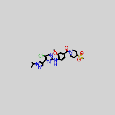 COc1cc(C(=O)N2CCC(S(C)(=O)=O)CC2)ccc1Nc1ncc(Cl)c(-c2cnn(C(C)C)c2)n1